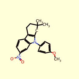 COc1ccc(-n2c3c(c4ccc([N+](=O)[O-])cc42)CCC(C)(C)C3)cc1